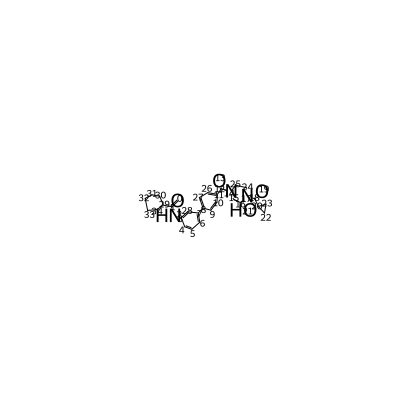 O=C(Nc1cccc(-c2ccc(C(=O)N3CCN(C(=O)C4(O)CC4)CC3)cc2)c1)C1CCCCC1